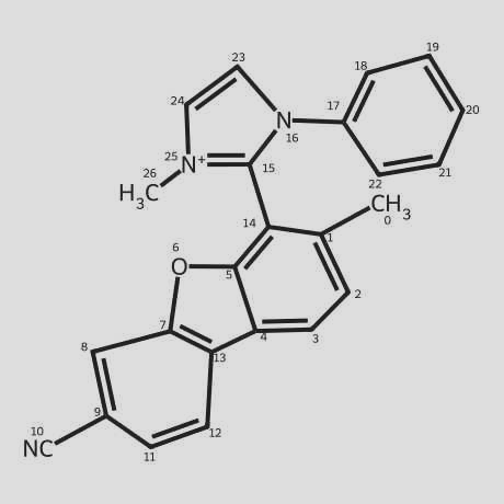 Cc1ccc2c(oc3cc(C#N)ccc32)c1-c1n(-c2ccccc2)cc[n+]1C